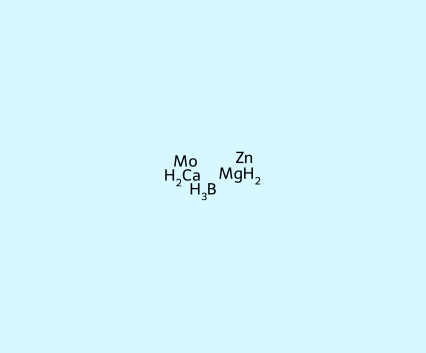 B.[CaH2].[MgH2].[Mo].[Zn]